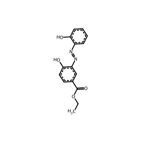 CCOC(=O)c1ccc(O)c(/N=N/c2ccccc2O)c1